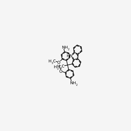 COc1cc(N)ccc1C(C)(c1ccc(N)cc1OC)c1cccc2c1[nH]c1ccccc12